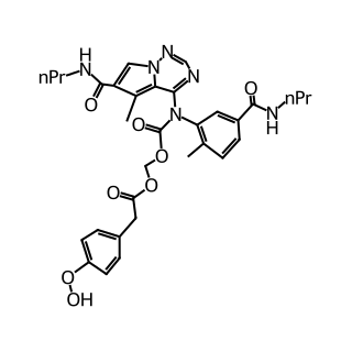 CCCNC(=O)c1ccc(C)c(N(C(=O)OCOC(=O)Cc2ccc(OO)cc2)c2ncnn3cc(C(=O)NCCC)c(C)c23)c1